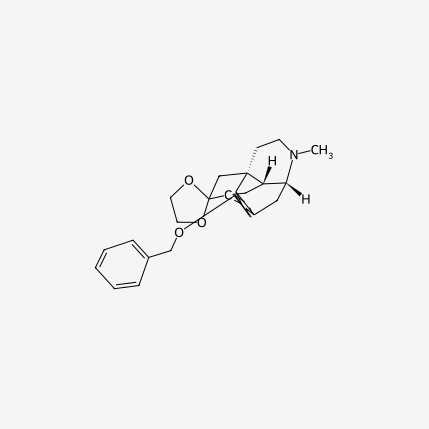 CN1CC[C@]23CC4(CC[C@H]2[C@H]1Cc1ccc(OCc2ccccc2)cc13)OCCO4